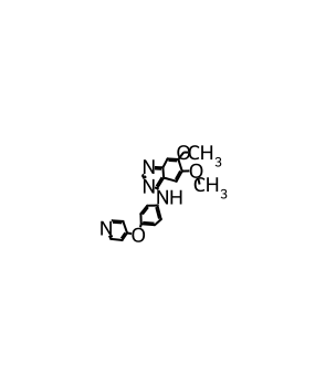 COc1cc2ncnc(Nc3ccc(Oc4ccncc4)cc3)c2cc1OC